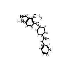 Cc1c(OC2CCC(NCc3cccnc3)CC2)ccc2[nH]ncc12